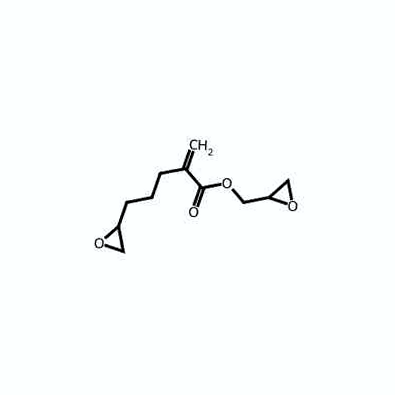 C=C(CCCC1CO1)C(=O)OCC1CO1